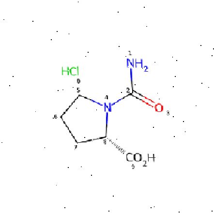 Cl.NC(=O)N1CCC[C@H]1C(=O)O